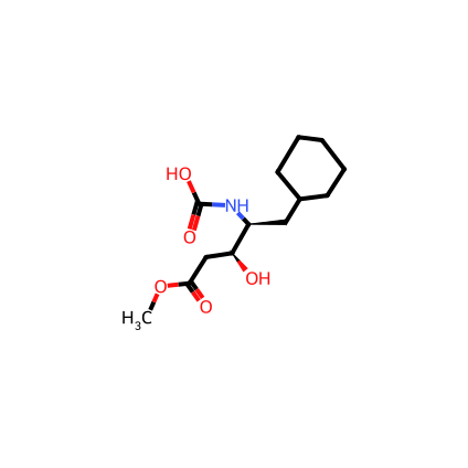 COC(=O)C[C@H](O)[C@H](CC1CCCCC1)NC(=O)O